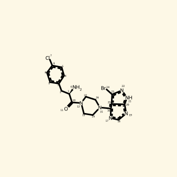 N[C@H](Cc1ccc(Cl)cc1)C(=O)N1CCN(c2ncnc3[nH]nc(Br)c23)CC1